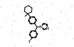 CC1(c2ccc(C(c3ccc(F)cc3)n3ccnc3)cc2)CCCCC1